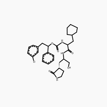 O=C(NC(CC1CCCCC1)C(=O)NC(CO)C[C@@H]1CCNC1=O)OC(Cc1cccc(Cl)c1)c1ccccc1